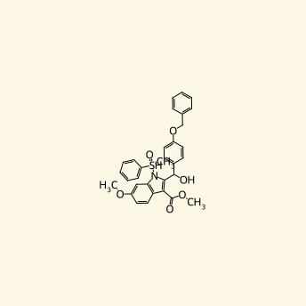 COC(=O)c1c(C(O)c2ccc(OCc3ccccc3)cc2)n([SH](C)(=O)c2ccccc2)c2cc(OC)ccc12